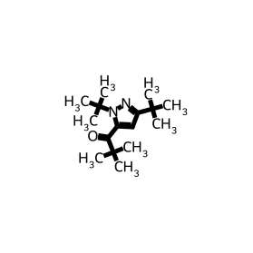 CC(C)(C)C(=O)c1cc(C(C)(C)C)nn1C(C)(C)C